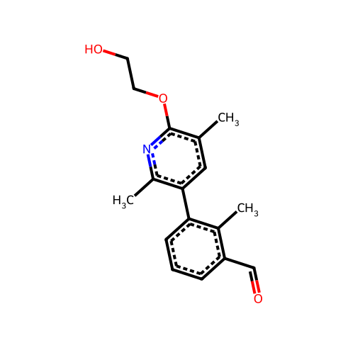 Cc1cc(-c2cccc(C=O)c2C)c(C)nc1OCCO